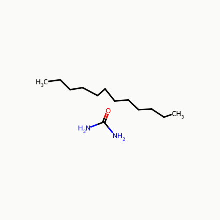 CCCCCCCCCCCC.NC(N)=O